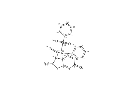 [2H]C1CC2=CC(=O)C=CC23C(c2ccccc2)=C(S(=O)(=O)c2ccccc2)C(=O)N13